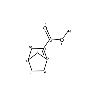 [CH2]OC(=O)C1=C2CCC(C2)C1